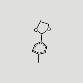 Cc1ccc(C2O[CH]CO2)cc1